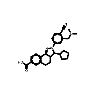 CN(C)Cc1cc(N2N=C3c4ccc(C(=O)O)cc4CCC3C2C2CCCC2)ccc1C#N